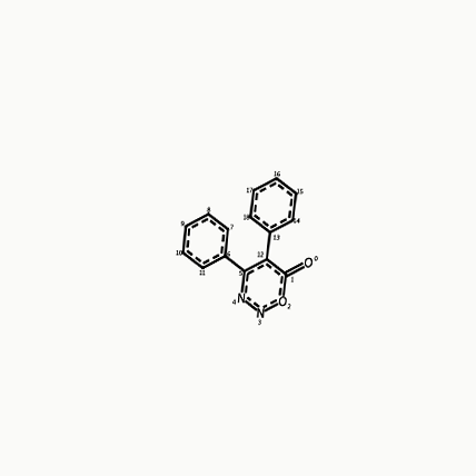 O=c1onnc(-c2ccccc2)c1-c1ccccc1